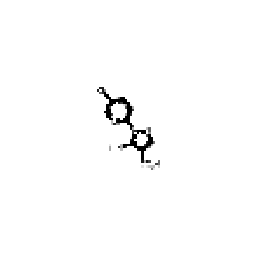 Nc1c(C(=O)O)cnn1-c1ccc(Cl)cn1